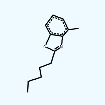 CCCCCC1=Nc2c(C)cccc2[N]1